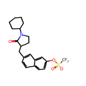 O=C1C(Cc2ccc3ccc(OS(=O)(=O)C(F)(F)F)cc3c2)CCN1C1CCCCC1